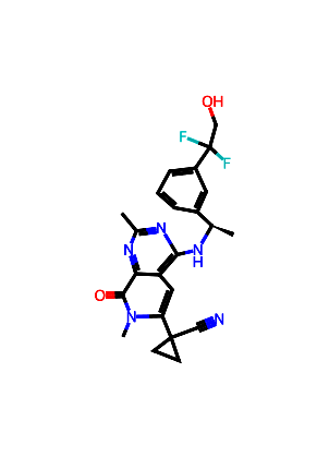 Cc1nc(N[C@H](C)c2cccc(C(F)(F)CO)c2)c2cc(C3(C#N)CC3)n(C)c(=O)c2n1